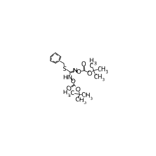 CC(C)(C)OC(=O)ON=C(NOC(=O)OC(C)(C)C)SCc1ccccc1